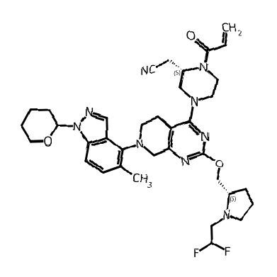 C=CC(=O)N1CCN(c2nc(OC[C@@H]3CCCN3CC(F)F)nc3c2CCN(c2c(C)ccc4c2cnn4C2CCCCO2)C3)C[C@@H]1CC#N